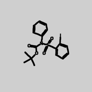 CC(C)(C)OC(=O)N(c1ccccc1)S(=O)(=O)c1ccccc1I